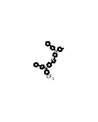 Cc1ccc(N(c2ccc(-c3ccccc3)cc2)c2ccc(-c3ccc(-c4ccc(N(c5ccc(-c6ccccc6)cc5)c5ccc(C(F)(F)F)cc5)cc4)s3)cc2)cc1